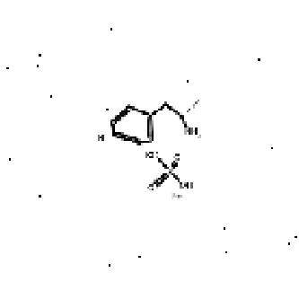 C[C@H](N)Cc1ccccc1.O=S(=O)(O)O.[Fe].[Ni]